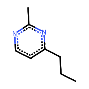 CCCc1ccnc(C)n1